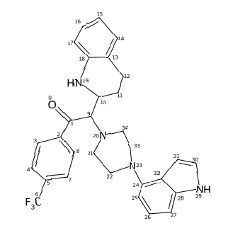 O=C(c1ccc(C(F)(F)F)cc1)C(C1CCc2ccccc2N1)N1CCN(c2cccc3[nH]ccc23)CC1